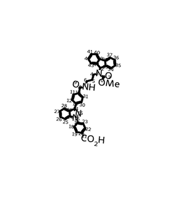 COC(=O)N(CCCNC(=O)c1ccc(-c2nn(-c3ccc(C(=O)O)cc3)c3ccccc23)cc1)C1c2ccccc2-c2ccccc21